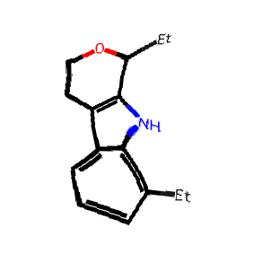 CCc1cccc2c3c([nH]c12)C(CC)OCC3